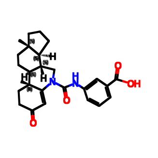 C[C@@]12CCC[C@H]1[C@@H]1CN(C(=O)Nc3cccc(C(=O)O)c3)C3=CC(=O)CC[C@]3(C)[C@H]1CC2